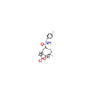 C=C1C(=O)O[C@@H]2/C=C(\C)CC/C=C(\C(=O)NCc3ccc(F)cc3)CC[C@H]12